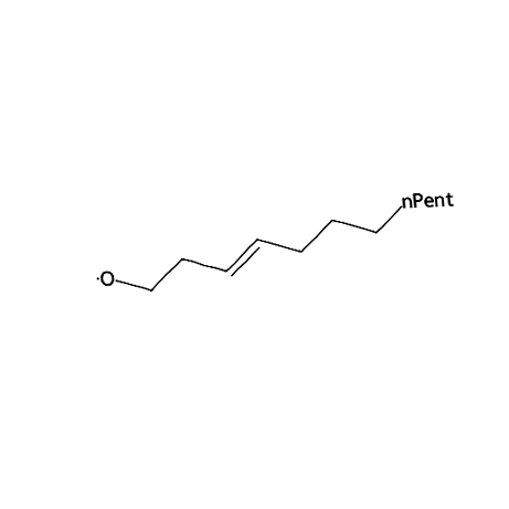 CCCCCCCCC=CCC[O]